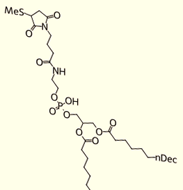 CCCCCCCCCCCCCCCC(=O)OCC(COP(=O)(O)OCCNC(=O)CCCN1C(=O)CC(SC)C1=O)OC(=O)CCCCCCCCCCCCCCC